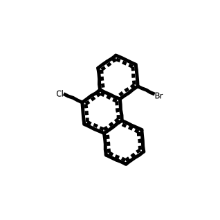 Clc1cc2ccccc2c2c(Br)cccc12